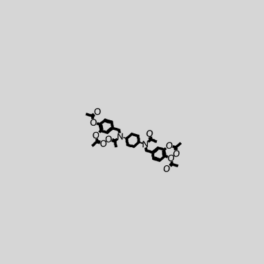 CC(=O)Oc1ccc(CN(C(C)=O)[C@H]2CC[C@H](N(Cc3ccc(OC(C)=O)c(OC(C)=O)c3)C(C)=O)CC2)cc1OC(C)=O